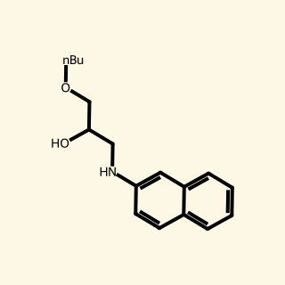 CCCCOCC(O)CNc1ccc2ccccc2c1